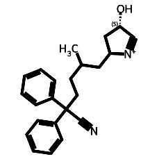 CC(CCC(C#N)(c1ccccc1)c1ccccc1)CC1C[C@H](O)C#[N+]1